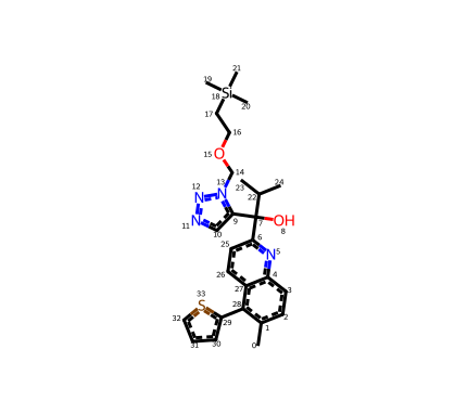 Cc1ccc2nc(C(O)(c3cnnn3COCC[Si](C)(C)C)C(C)C)ccc2c1-c1cccs1